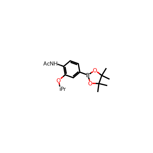 CC(=O)Nc1ccc(B2OC(C)(C)C(C)(C)O2)cc1OC(C)C